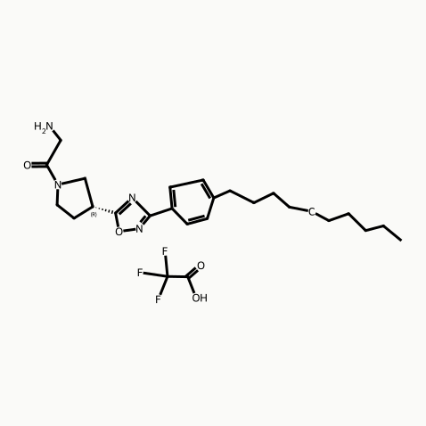 CCCCCCCCCCc1ccc(-c2noc([C@@H]3CCN(C(=O)CN)C3)n2)cc1.O=C(O)C(F)(F)F